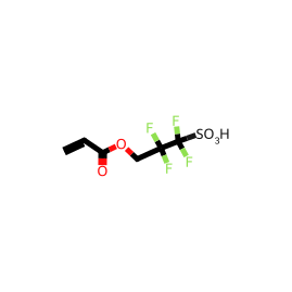 C=CC(=O)OCC(F)(F)C(F)(F)S(=O)(=O)O